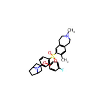 Cc1cc2c(cc1S(=O)(=O)c1ccc(N3C4CCC3CC(Oc3ccc(F)cc3)C4)cc1)CCN(C)CC2